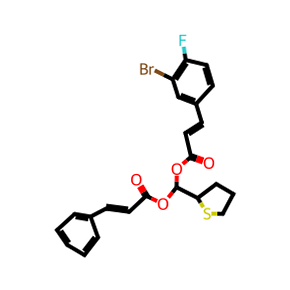 O=C(C=Cc1ccccc1)OC(OC(=O)C=Cc1ccc(F)c(Br)c1)C1CCCS1